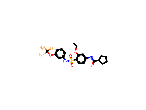 CCOc1cc(NC(=O)C2CCCC2)ccc1S(=O)(=O)Nc1cccc(OC(P)(P)P)c1